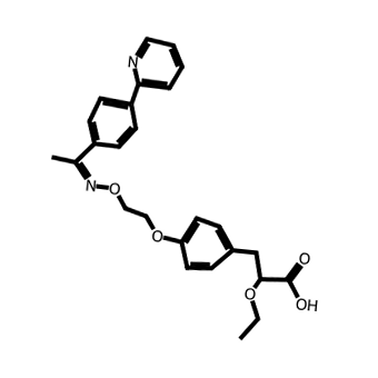 CCOC(Cc1ccc(OCCO/N=C(/C)c2ccc(-c3ccccn3)cc2)cc1)C(=O)O